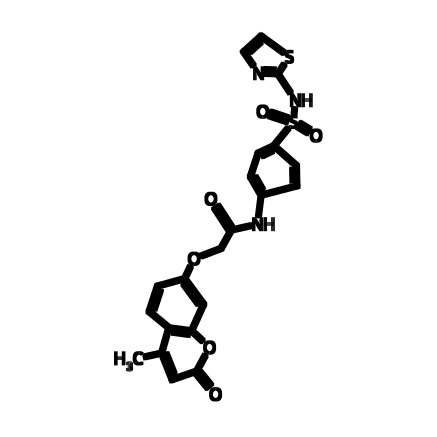 Cc1cc(=O)oc2cc(OCC(=O)Nc3ccc(S(=O)(=O)Nc4nccs4)cc3)ccc12